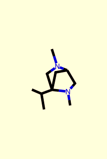 CC(C)C12CC(CN1C)N(C)C2